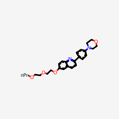 CCCOCCOCCOc1ccc2nc(-c3ccc(N4CCOCC4)cc3)ccc2c1